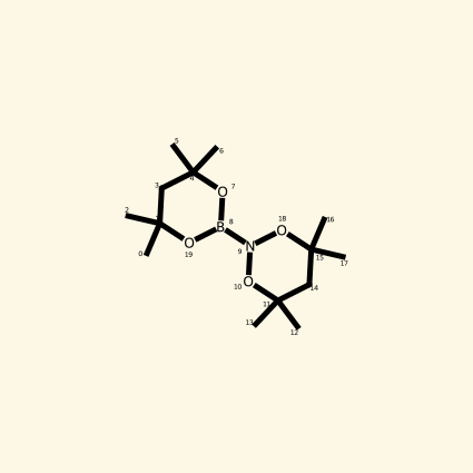 CC1(C)CC(C)(C)OB(N2OC(C)(C)CC(C)(C)O2)O1